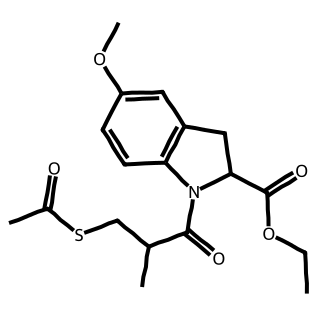 CCOC(=O)C1Cc2cc(OC)ccc2N1C(=O)C(C)CSC(C)=O